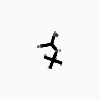 CC(C)C([S])SC(C)(C)C